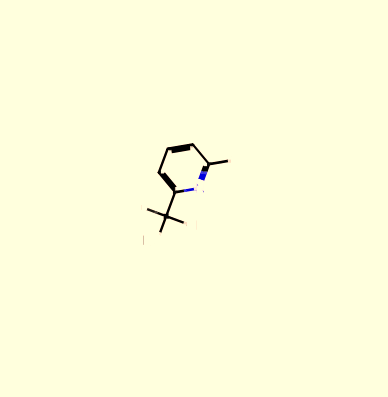 CCC(C)(C)c1cccc(C)n1